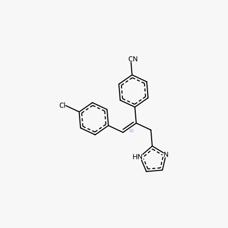 N#Cc1ccc(/C(=C\c2ccc(Cl)cc2)Cc2ncc[nH]2)cc1